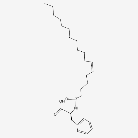 CCCCCCCCCCC/C=C\CCCCC(=O)N[C@@H](Cc1ccccc1)C(=O)O